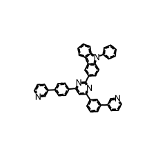 c1ccc(-n2c3ccccc3c3cc(-c4nc(-c5ccc(-c6cccnc6)cc5)cc(-c5cccc(-c6cccnc6)c5)n4)ccc32)cc1